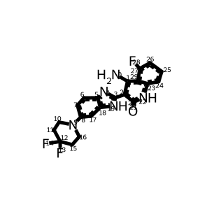 Nc1c(-c2nc3ccc(N4CCC(F)(F)CC4)cc3[nH]2)c(=O)[nH]c2cccc(F)c12